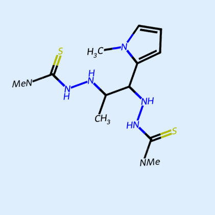 CNC(=S)NNC(C)C(NNC(=S)NC)c1cccn1C